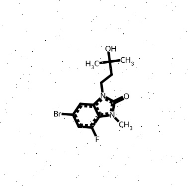 Cn1c(=O)n(CCC(C)(C)O)c2cc(Br)cc(F)c21